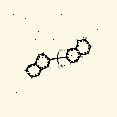 [CH2]C(CCCCCC)(c1ccc2ccccc2c1)c1ccc2ccccc2c1